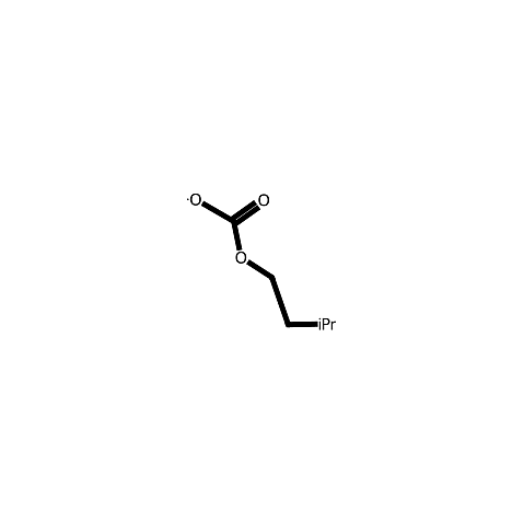 CC(C)CCOC([O])=O